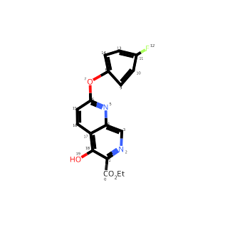 CCOC(=O)c1ncc2nc(Oc3ccc(F)cc3)ccc2c1O